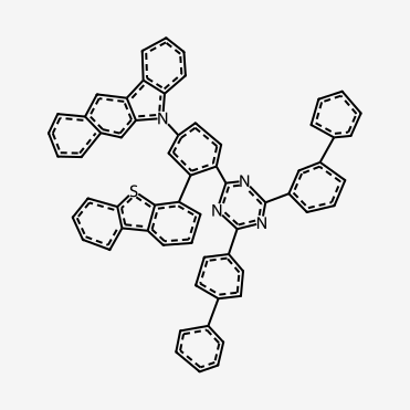 c1ccc(-c2ccc(-c3nc(-c4cccc(-c5ccccc5)c4)nc(-c4ccc(-n5c6ccccc6c6cc7ccccc7cc65)cc4-c4cccc5c4sc4ccccc45)n3)cc2)cc1